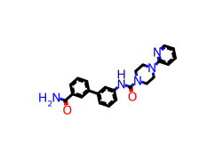 NC(=O)c1cccc(-c2cccc(NC(=O)N3CCN(c4ccccn4)CC3)c2)c1